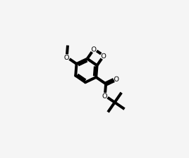 COc1ccc(C(=O)OC(C)(C)C)c2ooc12